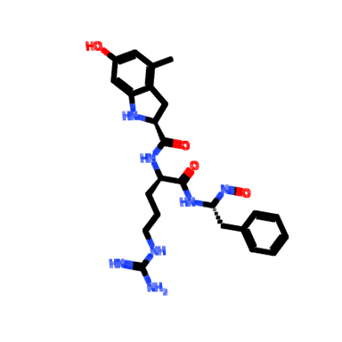 Cc1cc(O)cc2c1C[C@@H](C(=O)N[C@H](CCCNC(=N)N)C(=O)N[C@@H](Cc1ccccc1)N=O)N2